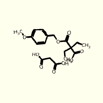 CCC(CC)(C(=O)O)C(=O)OCc1ccc(OC)cc1.O=C(O)CC(=O)O